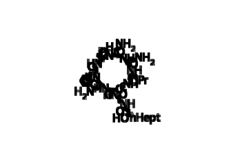 CCCCCCC[C@@H](O)CC(=O)NCC(=O)N[C@H]1CCNC(=O)[C@H](CC(C)C)NC(=O)[C@H](CCN)NC(=O)[C@H](CCN)NC(=O)[C@H](CC(C)C)NC(=O)[C@@H](Cc2ccccc2)NC(=O)[C@H](CCN)NC1=O